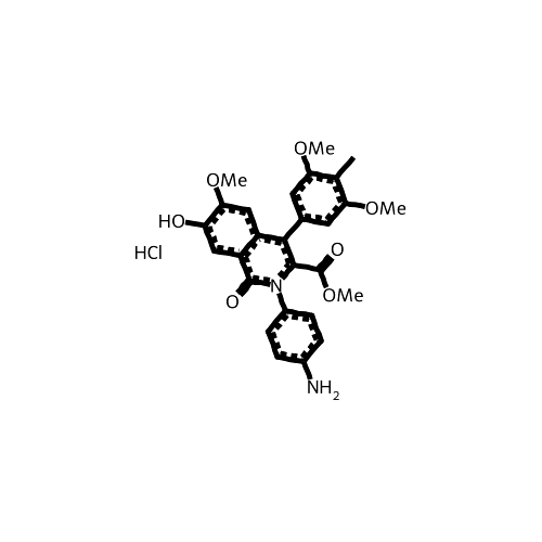 COC(=O)c1c(-c2cc(OC)c(C)c(OC)c2)c2cc(OC)c(O)cc2c(=O)n1-c1ccc(N)cc1.Cl